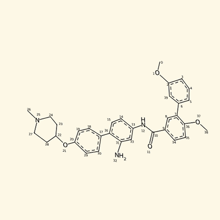 COc1cccc(-c2cc(C(=O)Nc3ccc(-c4ccc(OC5CCN(C)CC5)cc4)c(N)c3)ccc2OC)c1